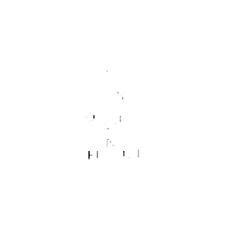 CCN(C)C(=O)ON1CCCC1